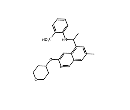 Cc1cc(C(C)Nc2ccccc2C(=O)O)c2cc(OC3CCOCC3)ncc2c1